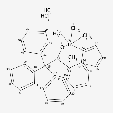 Cl.Cl.[CH3][Ti]([CH3])([CH3])([CH3])([O]C(c1ccccc1)C(c1ccccc1)(c1ccccc1)c1ccccc1)[C]1=CC=CC1